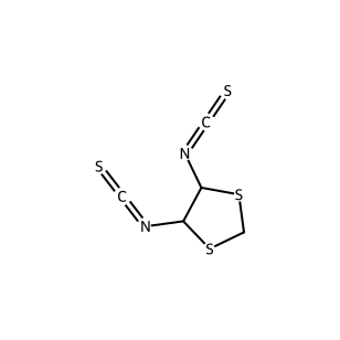 S=C=NC1SCSC1N=C=S